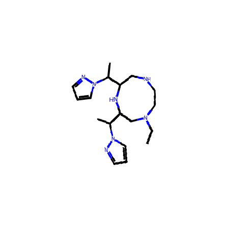 CCN1CCNCC(C(C)n2cccn2)NC(C(C)n2cccn2)C1